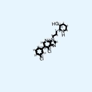 O[C@H]1CCCN[C@@H]1CCCn1cnc2c(Cl)c(-c3cccc(Cl)c3)cnc21